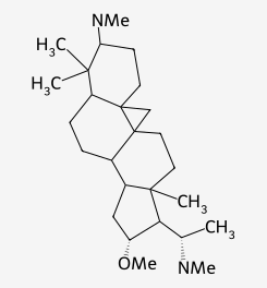 CNC1CCC23CC24CCC2(C)C(C[C@@H](OC)C2[C@H](C)NC)C4CCC3C1(C)C